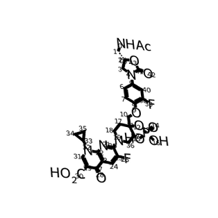 CC(=O)NC[C@H]1CN(c2ccc(OCC3(OP(=O)(O)O)CCN(c4nc5c(cc4F)c(=O)c(C(=O)O)cn5C4CC4)CC3)c(F)c2)C(=O)O1